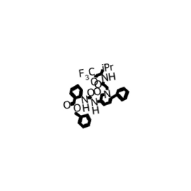 CC(C)C(NC(=O)Cn1c(-c2ccccc2)ccc(NC(=O)Nc2ccccc2C(=O)OCc2ccccc2)c1=O)C(=O)C(F)(F)F